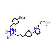 CCn1c(CCCc2ccc(-c3cccc(CC(=O)O)n3)cc2)nn(Cc2ccc(C(C)(C)C)cc2)c1=O